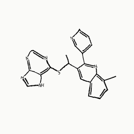 Cc1cccc2cc(C(C)Sc3ncnc4nc[nH]c34)c(-c3cccnc3)nc12